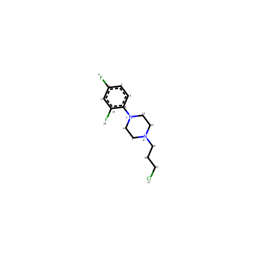 Fc1ccc(N2CCN(CCCCl)CC2)c(F)c1